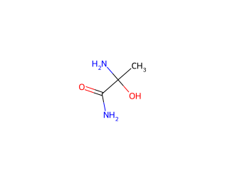 CC(N)(O)C(N)=O